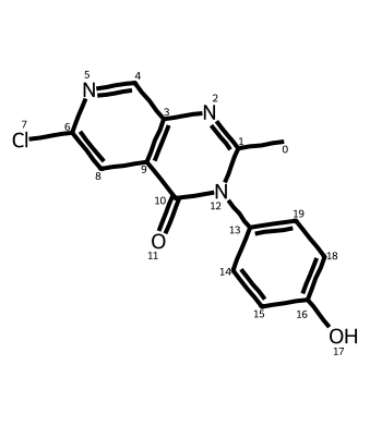 Cc1nc2cnc(Cl)cc2c(=O)n1-c1ccc(O)cc1